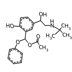 CC(=O)OC(Oc1ccccc1)c1cc(C(O)CNC(C)(C)C)ccc1O